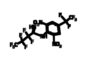 N=C(Nc1c([N+](=O)[O-])cc(C(F)(F)C(F)(F)F)cc1[N+](=O)[O-])C(F)(F)C(F)(F)C(F)(F)F